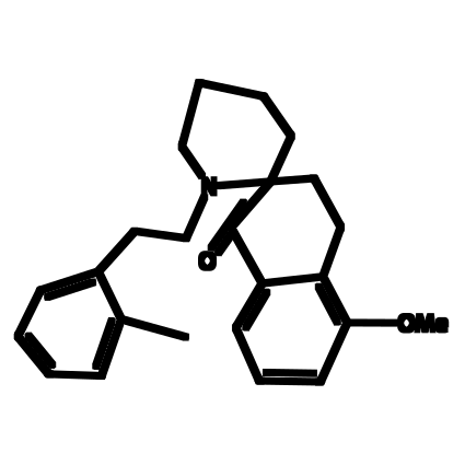 COc1cccc2c1CCC1(CCCCN1CCc1ccccc1C)C2=O